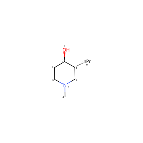 CCC[C@@H]1CN(C)CC[C@H]1O